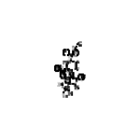 CCOC(=O)c1ccc(-n2oc(C(C)(C)C)cc2=O)c([N+](=O)[O-])c1